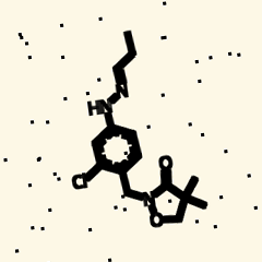 CCC=NNc1ccc(CN2OCC(C)(C)C2=O)c(Cl)c1